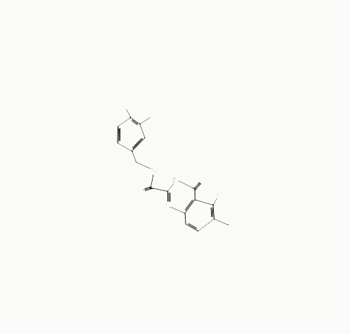 Cc1cc(CNC(=O)c2nc3ccc(F)c(F)c3c(=O)[nH]2)ccc1F